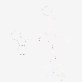 C[C@@H]1C(CO[C@@H]2OC(CO)[C@@H](OP3(=O)OCc4ccccc4CO3)[C@H](C)C2NC(=O)OCC2c3ccccc3-c3ccccc32)OC(O[Si](C)(C)C(C)(C)C)C(N=[N+]=[N-])[C@H]1O